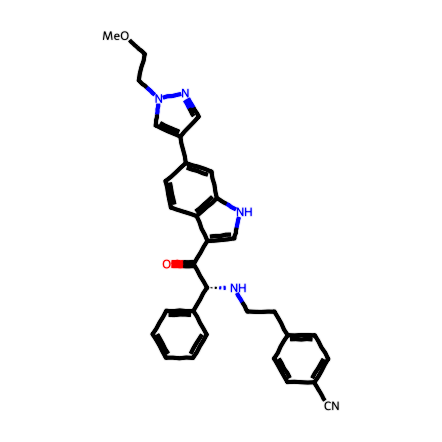 COCCn1cc(-c2ccc3c(C(=O)[C@H](NCCc4ccc(C#N)cc4)c4ccccc4)c[nH]c3c2)cn1